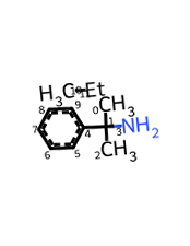 CC(C)(N)c1ccccc1.CCC